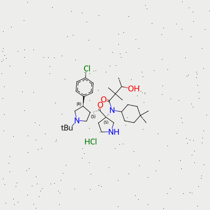 CC(O)C(C)(C)C(=O)N(C1CCC(C)(C)CC1)[C@@]1(C(=O)[C@@H]2CN(C(C)(C)C)C[C@H]2c2ccc(Cl)cc2)CCNC1.Cl